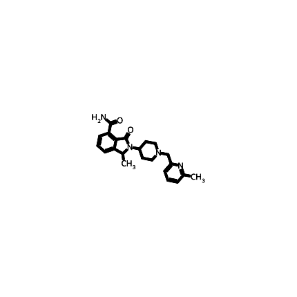 Cc1cccc(CN2CCC(N3C(=O)c4c(C(N)=O)cccc4C3C)CC2)n1